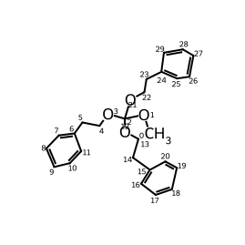 COC(OCCc1ccccc1)(OCCc1ccccc1)OCCc1ccccc1